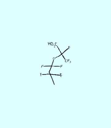 CC(F)(F)C(F)(F)OC(F)(C(=O)O)C(F)(F)F